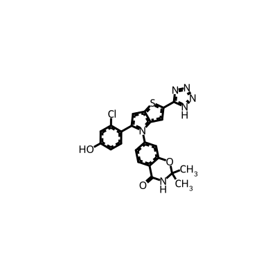 CC1(C)NC(=O)c2ccc(-n3c(-c4ccc(O)cc4Cl)cc4sc(-c5nnn[nH]5)cc43)cc2O1